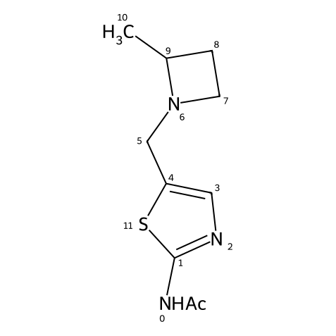 CC(=O)Nc1ncc(CN2CCC2C)s1